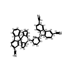 N#Cc1ccc2c(c1)C1(c3ccccc3-2)c2ccccc2N(c2cccc(-n3c4ccc(C#N)cc4c4cc(C#N)ccc43)n2)c2ccccc21